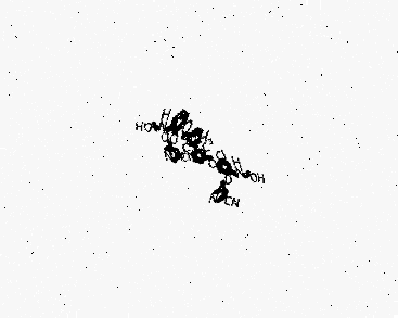 Cc1c(COc2cc(OCc3cncc(C#N)c3)c(CNCCO)cc2Cl)cccc1-c1cccc(COc2cccc(C(=O)NCCO)c2OCc2cncc(C#N)c2)c1C